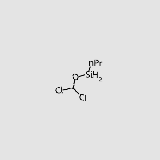 [CH2]CC[SiH2]OC(Cl)Cl